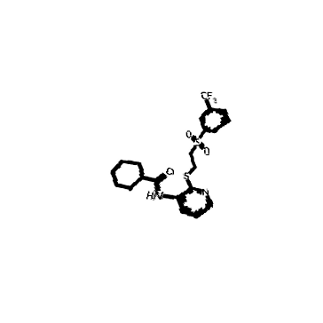 O=C(Nc1cccnc1SCCS(=O)(=O)c1cccc(C(F)(F)F)c1)C1CCCCC1